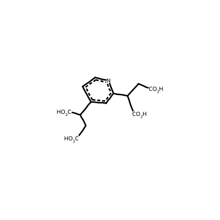 O=C(O)CC(C(=O)O)c1ccnc(C(CC(=O)O)C(=O)O)c1